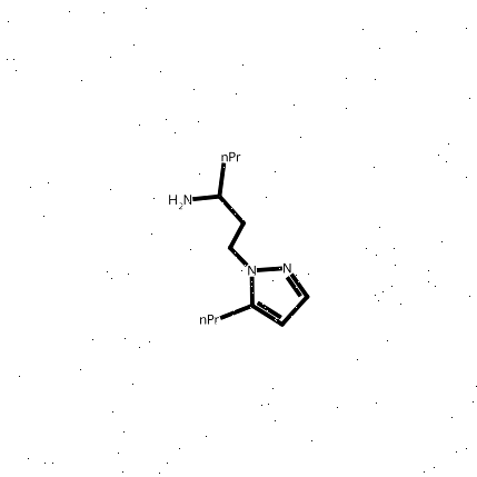 CCCc1ccnn1CCC(N)CCC